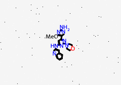 COc1nc(N)ncc1-c1cc(Nc2cnc3ccccc3c2)nc(N2CCOCC2)n1